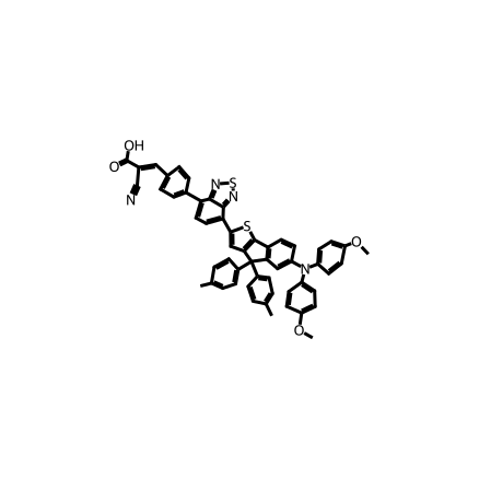 COc1ccc(N(c2ccc(OC)cc2)c2ccc3c(c2)C(c2ccc(C)cc2)(c2ccc(C)cc2)c2cc(-c4ccc(-c5ccc(/C=C(\C#N)C(=O)O)cc5)c5nsnc45)sc2-3)cc1